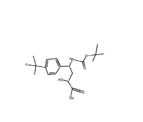 CC(C)(C)OC(=O)NC(CC(O)C(=O)O)c1ccc(C(F)(F)F)cc1